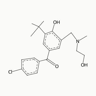 CN(CCO)Cc1cc(C(=O)c2ccc(Cl)cc2)cc(C(C)(C)C)c1O